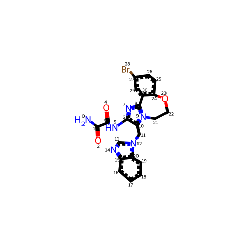 NC(=O)C(=O)Nc1nc2n(c1Cn1cnc3ccccc31)CCOc1ccc(Br)cc1-2